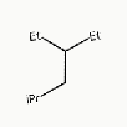 [CH2]CC(CC)CC(C)C